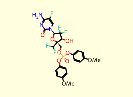 COc1ccc(OP(=O)(OC[C@@]2(C(F)F)O[C@@H](n3cc(F)c(N)nc3=O)C(F)(F)[C@H]2O)Oc2ccc(OC)cc2)cc1